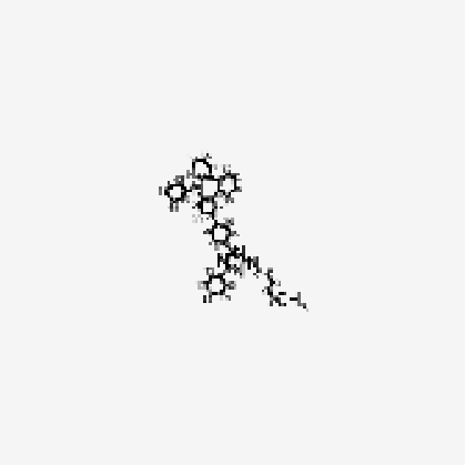 C\C=C/C=C\C=N\c1nc(-c2ccccc2)nc(-c2ccc(-c3ccc4c(c3)-c3ccccc3C3=C(CCC=C3)N4c3ccccc3)cc2)n1